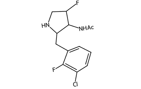 CC(=O)NC1C(F)CNC1Cc1cccc(Cl)c1F